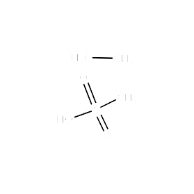 CC.CS(=O)(=O)O